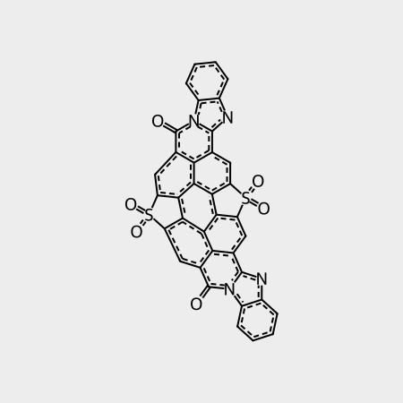 O=c1c2cc3c4c5c(cc6c(=O)n7c8ccccc8nc7c7cc8c(c9c(cc(c2c49)c2nc4ccccc4n12)S8(=O)=O)c5c67)S3(=O)=O